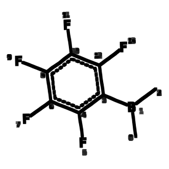 CB(C)c1c(F)c(F)c(F)c(F)c1F